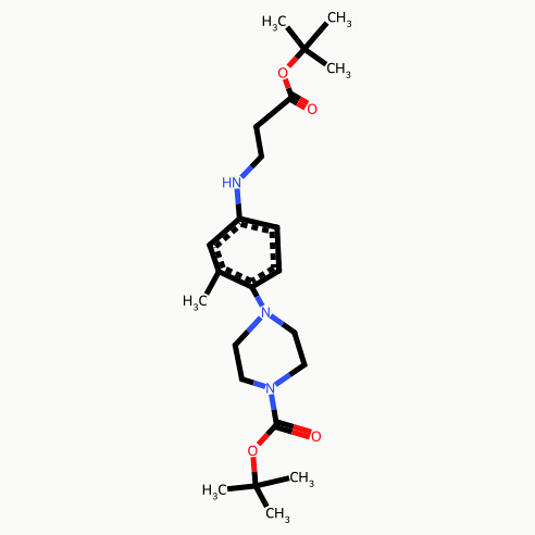 Cc1cc(NCCC(=O)OC(C)(C)C)ccc1N1CCN(C(=O)OC(C)(C)C)CC1